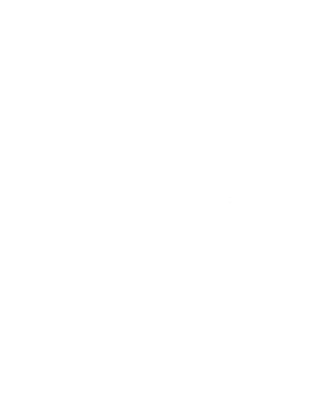 Cc1c(C(=O)C(C)(C)C)ccc2ccccc12